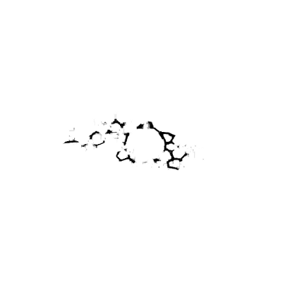 CCn1c(-c2cccnc2[C@H](C)OC)c2c3cc(ccc31)-c1csc(n1)C[C@H](NC(=O)C(C(C)C)N(C)C(=O)N1CCN(C(=O)[C@@H]3CN3)[C@H](C)C1)C(=O)N1CCC[C@H](N1)C(=O)OCC(C)(C)C2